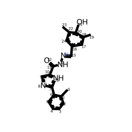 Cc1ccccc1-c1ncc(C(=O)N/N=C/c2cc(C)c(O)c(C)c2)[nH]1